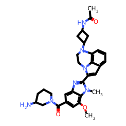 COc1cc(C(=O)N2CCCC(N)C2)cc2nc(-c3cc4cccc5c4n3CCN5C3CC(NC(C)=O)C3)n(C)c12